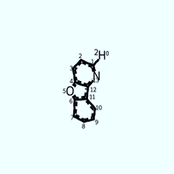 [2H]c1ccc2oc3ccccc3c2n1